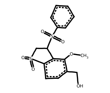 COc1c(CO)ccc2c1C(S(=O)(=O)c1ccccc1)CS2(=O)=O